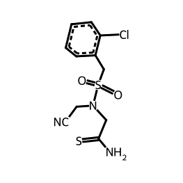 N#CCN(CC(N)=S)S(=O)(=O)Cc1ccccc1Cl